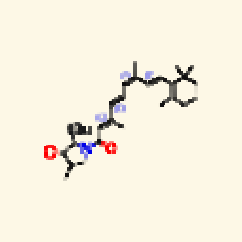 CC1=C(/C=C/C(C)=C\C=C\C(C)=C\C(=O)N2CC(C)C(=O)C2C(C)(C)C)C(C)(C)CCC1